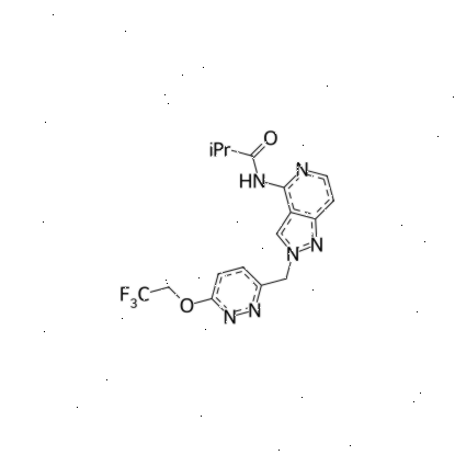 CC(C)C(=O)Nc1nccc2nn(Cc3ccc(OCC(F)(F)F)nn3)cc12